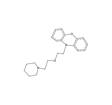 c1ccc2c(c1)Oc1ccccc1N2CCOCCN1CCCCC1